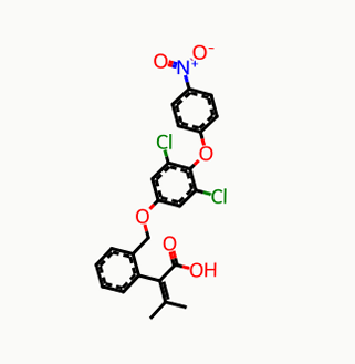 CC(C)=C(C(=O)O)c1ccccc1COc1cc(Cl)c(Oc2ccc([N+](=O)[O-])cc2)c(Cl)c1